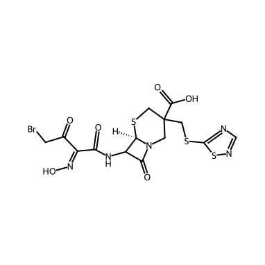 O=C(CBr)C(=NO)C(=O)NC1C(=O)N2CC(CSc3ncns3)(C(=O)O)CS[C@H]12